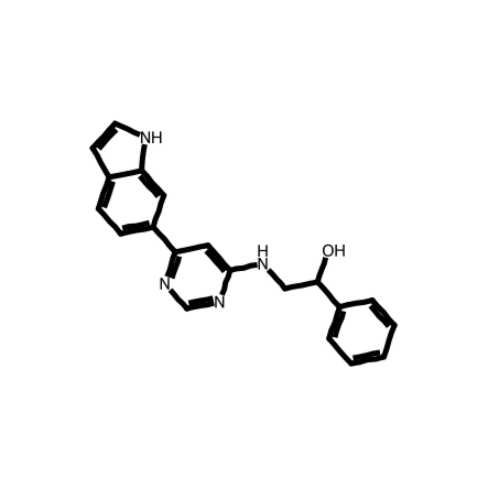 OC(CNc1cc(-c2ccc3cc[nH]c3c2)ncn1)c1ccccc1